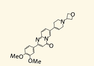 COc1ccc(-c2cc(=O)n3cc(C4=CCN(C5COC5)CC4)ccc3n2)cc1OC